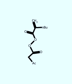 C=C(CCCC)C(=O)OOC(=O)CC(C)=O